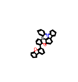 c1ccc2c(c1)B1c3cccc(-c4cccc5c4oc4ccccc45)c3Oc3ccc4c5ccccc5n-2c4c31